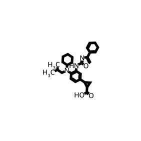 CC(C)CN(c1ccc(C2CC2C(=O)O)cc1Nc1nc(C2=CCCC=C2)co1)C1CCCCC1